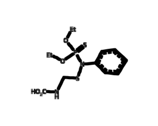 CCOP(=S)(OCC)N(SCNC(=O)O)c1ccccc1